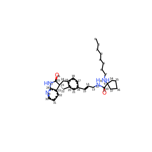 CCCCCCCCNC1(C(=O)NC/C=C/c2ccc3c(c2)C[C@@]2(C3)C(=O)Nc3ncccc32)CCCC1